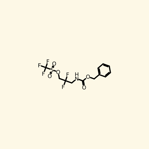 O=C(NCC(F)(F)COS(=O)(=O)C(F)(F)F)OCc1ccccc1